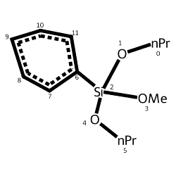 CCCO[Si](OC)(OCCC)c1ccccc1